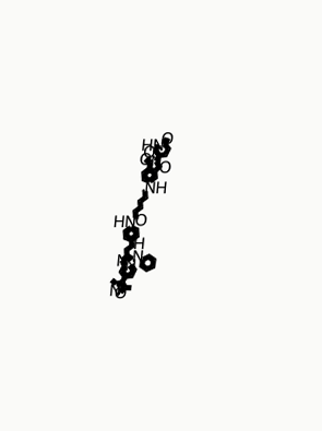 Cc1noc(C)c1-c1ccn2c(NC3CCCCC3)c(CCc3ccc(NC(=O)CCCCCNc4ccc5c(c4)C(=O)N(C4CCC(=O)NC4=O)C5=O)cc3)nc2c1